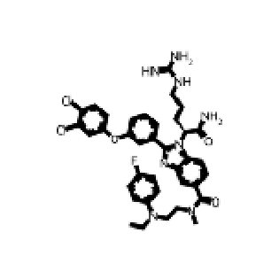 CCN(CCN(C)C(=O)c1ccc2c(c1)nc(-c1cccc(Oc3ccc(Cl)c(Cl)c3)c1)n2[C@@H](CCCNC(=N)N)C(N)=O)c1ccc(F)cc1